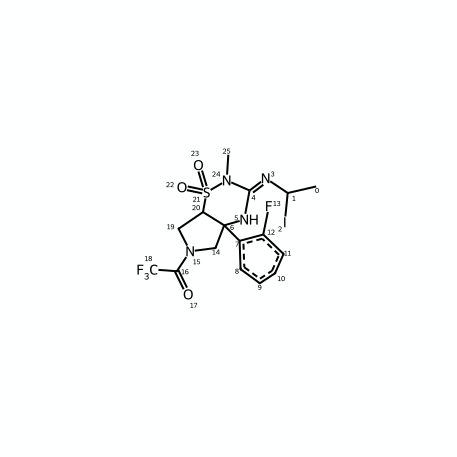 CC(I)/N=C1\NC2(c3ccccc3F)CN(C(=O)C(F)(F)F)CC2S(=O)(=O)N1C